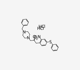 Cl.Cl.O=C(Cc1ccc(Sc2ccccc2)cc1[N+](=O)[O-])CN1CCN(Cc2ccccc2)CC1